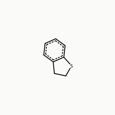 [c]1cccc2c1C[CH]S2